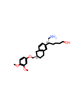 COc1ccc(OC[C@@H]2CCc3cc([C@H](CN)CCCCO)ccc3C2)cc1OC